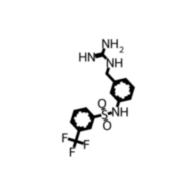 N=C(N)NCc1cccc(NS(=O)(=O)c2cccc(C(F)(F)F)c2)c1